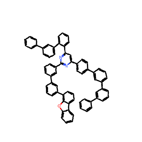 c1ccc(-c2cccc(-c3cccc(-c4ccc(-c5cc(-c6ccccc6-c6cccc(-c7ccccc7)c6)nc(-c6cccc(-c7cccc(-c8cccc9c8oc8ccccc89)c7)c6)n5)cc4)c3)c2)cc1